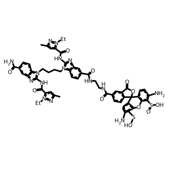 CCn1nc(C)cc1C(=O)Nc1nc2cc(C(N)=O)ccc2n1CCCCn1c(NC(=O)c2cc(C)nn2CC)nc2cc(C(=O)NCCNC(=O)c3ccc4c(c3)C(=O)OC43c4ccc(N)c(SO)c4Oc4c3ccc(N)c4S(=O)O)ccc21